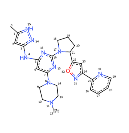 Cc1cc(Nc2cc(N3CCN(C(C)C)CC3)nc(N3CCCC3c3cc(-c4ccccn4)no3)n2)n[nH]1